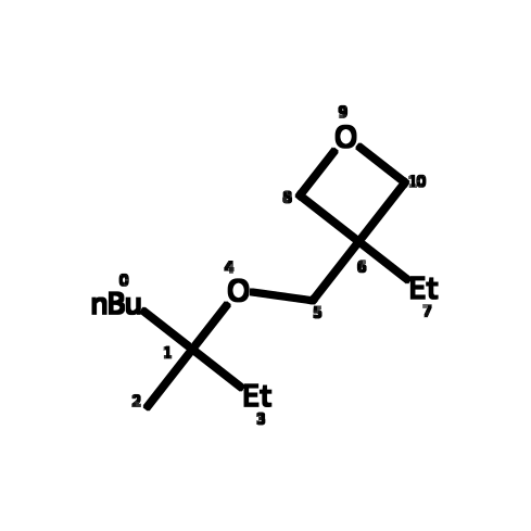 CCCCC(C)(CC)OCC1(CC)COC1